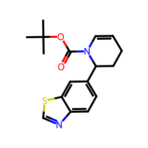 CC(C)(C)OC(=O)N1C=CCCC1c1ccc2ncsc2c1